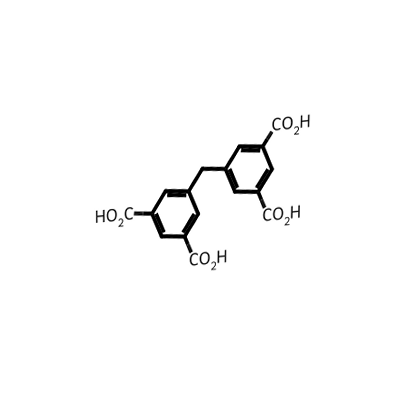 O=C(O)c1cc(Cc2cc(C(=O)O)cc(C(=O)O)c2)cc(C(=O)O)c1